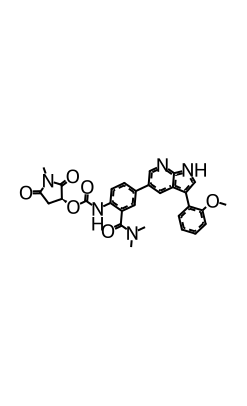 COc1ccccc1-c1c[nH]c2ncc(-c3ccc(NC(=O)O[C@H]4CC(=O)N(C)C4=O)c(C(=O)N(C)C)c3)cc12